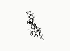 C/C=C/c1cc(C)c(C2C(=O)CC(CC(=O)NCc3ccc(C#N)cc3)C2=O)c(CC)c1